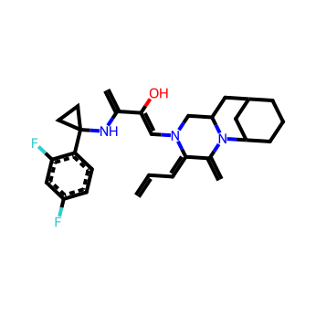 C=C/C=C1/C(=C)N2C3CCCC(C3)CC2CN1/C=C(\O)C(=C)NC1(c2ccc(F)cc2F)CC1